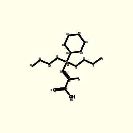 CCCC[Si](C=C(C)C(=O)O)(CCCC)C1CCCCC1